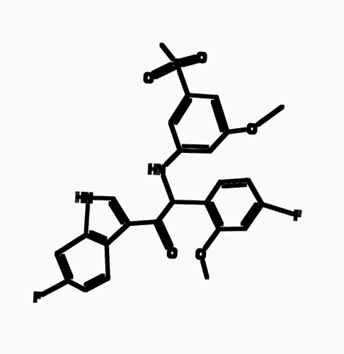 COc1cc(NC(C(=O)c2c[nH]c3cc(F)ccc23)c2ccc(F)cc2OC)cc(S(C)(=O)=O)c1